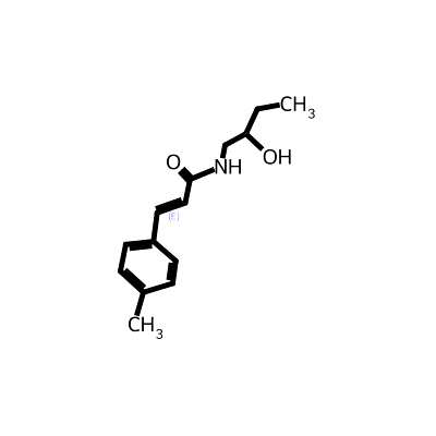 CCC(O)CNC(=O)/C=C/c1ccc(C)cc1